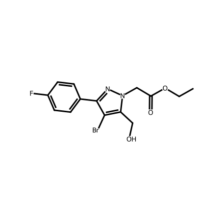 CCOC(=O)Cn1nc(-c2ccc(F)cc2)c(Br)c1CO